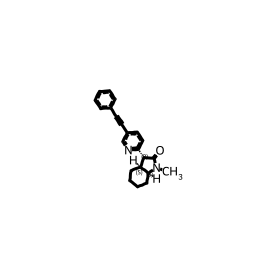 CN1C(=O)[C@@H](c2ccc(C#Cc3ccccc3)cn2)[C@@H]2CCCC[C@@H]21